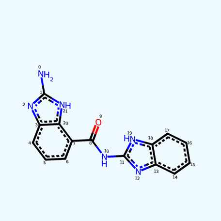 Nc1nc2cccc(C(=O)Nc3nc4ccccc4[nH]3)c2[nH]1